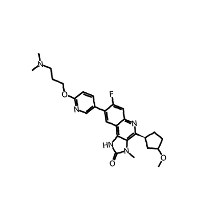 COC1CC[C@H](c2nc3cc(F)c(-c4ccc(OCCCN(C)C)nc4)cc3c3[nH]c(=O)n(C)c23)C1